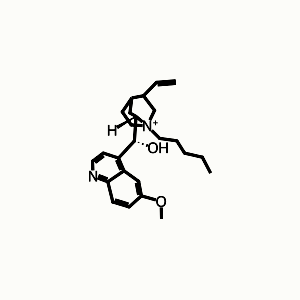 C=CC1C[N+]2(CCCCC)CCC1C[C@H]2[C@H](O)c1ccnc2ccc(OC)cc12